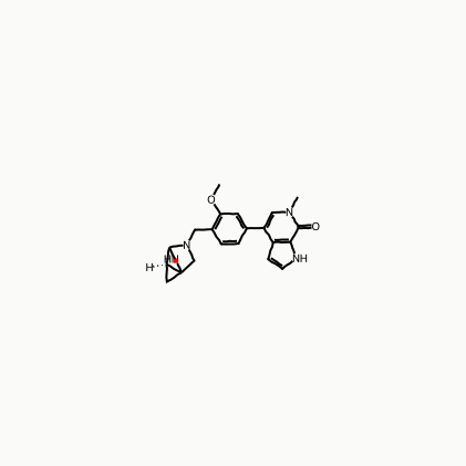 COc1cc(-c2cn(C)c(=O)c3[nH]ccc23)ccc1CN1CC23C[C@H]2C1CN3